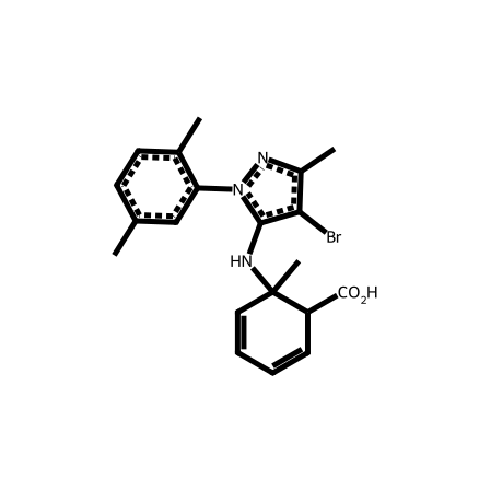 Cc1ccc(C)c(-n2nc(C)c(Br)c2NC2(C)C=CC=CC2C(=O)O)c1